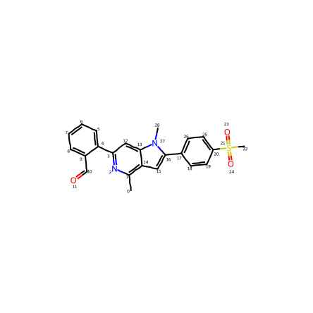 Cc1nc(-c2ccccc2C=O)cc2c1cc(-c1ccc(S(C)(=O)=O)cc1)n2C